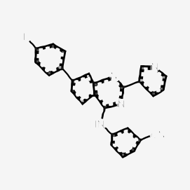 N#Cc1cccc(Nc2nc(-c3cccnc3)nc3cc(-c4ccc(F)cc4)ccc23)c1